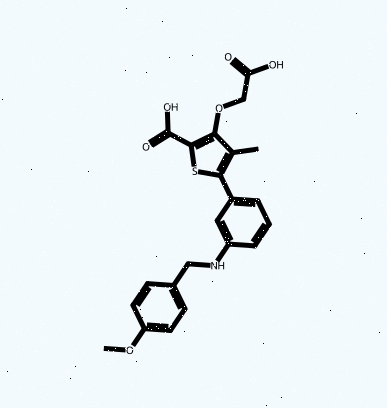 COc1ccc(CNc2cccc(-c3sc(C(=O)O)c(OCC(=O)O)c3C)c2)cc1